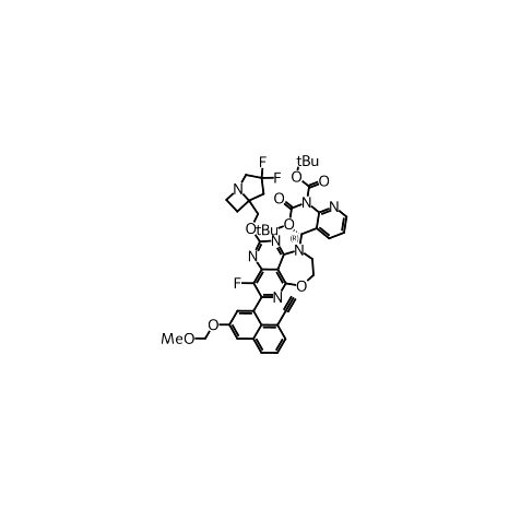 C#Cc1cccc2cc(OCOC)cc(-c3nc4c5c(nc(OCC67CCN6CC(F)(F)C7)nc5c3F)N([C@H](C)c3cccnc3N(C(=O)OC(C)(C)C)C(=O)OC(C)(C)C)CCO4)c12